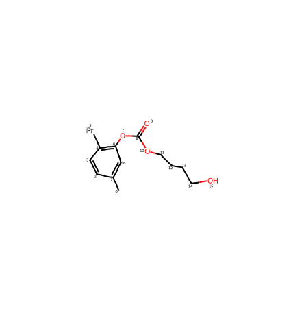 Cc1ccc(C(C)C)c(OC(=O)OCCCCO)c1